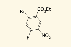 CCOC(=O)c1cc([N+](=O)[O-])c(F)cc1Br